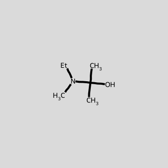 CCN(C)C(C)(C)O